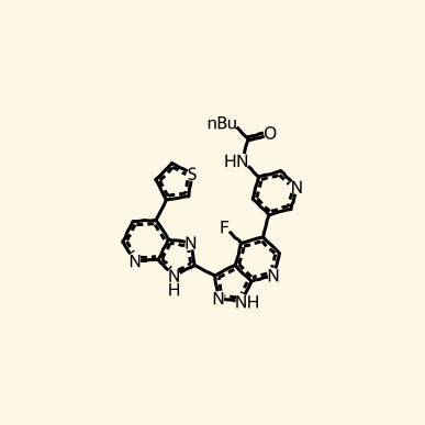 CCCCC(=O)Nc1cncc(-c2cnc3[nH]nc(-c4nc5c(-c6ccsc6)ccnc5[nH]4)c3c2F)c1